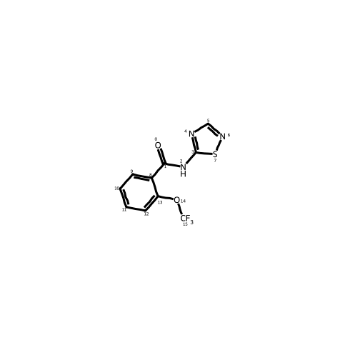 O=C(Nc1ncns1)c1ccccc1OC(F)(F)F